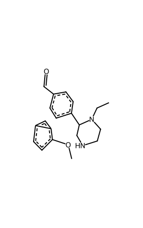 CCN1CCNCC1c1ccc(C=O)cc1.COc1ccc2cc1-2